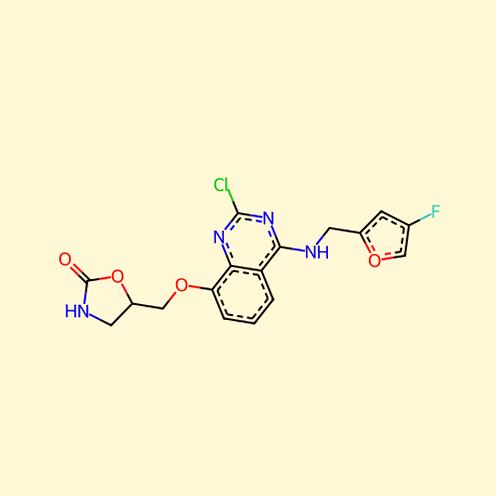 O=C1NCC(COc2cccc3c(NCc4cc(F)co4)nc(Cl)nc23)O1